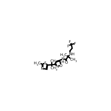 Cc1ncc(C(C)(C)c2cc(NC(=O)C(C)(C)NCCC(F)(F)F)on2)s1